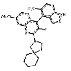 COc1ccc2c(-c3c(C)ccc4[nH]ncc34)c(F)c(N3CCC4(CCCCC4)C3)nc2c1